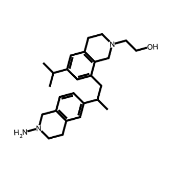 CC(C)c1cc2c(c(CC(C)c3ccc4c(c3)CCN(N)C4)c1)CN(CCO)CC2